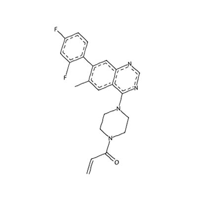 C=CC(=O)N1CCN(c2ncnc3cc(-c4ccc(F)cc4F)c(C)cc23)CC1